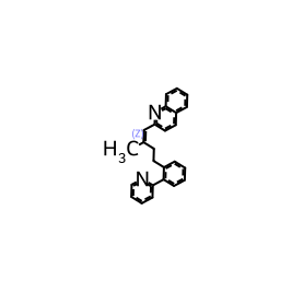 C/C(=C/c1ccc2ccccc2n1)CCc1ccccc1-c1ccccn1